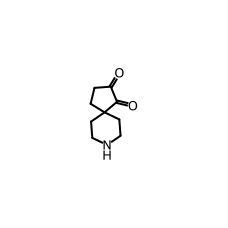 O=C1CCC2(CCNCC2)C1=O